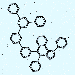 c1ccc(-c2cc(-c3ccccc3)nc(-c3cccc(-c4cccc(-c5c(-c6ccccc6)n6ncc(-c7ccccc7)c6c6ccccc56)c4)c3)n2)cc1